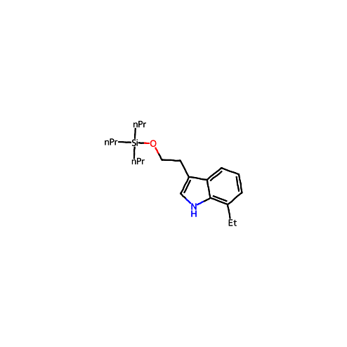 CCC[Si](CCC)(CCC)OCCc1c[nH]c2c(CC)cccc12